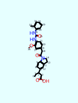 CCC(CC(=O)O)c1ccc2c(c1)CCN2C(=O)Cc1ccc(NC(=O)Nc2ccccc2C)c(OC)c1